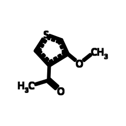 COc1cscc1C(C)=O